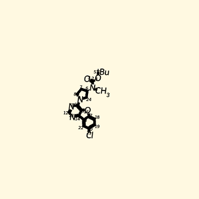 CN(C(=O)OC(C)(C)C)[C@H]1CCN(c2ncnc3c2oc2ccc(Cl)cc23)C1